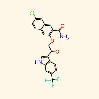 NC(=O)c1cc2cc(Cl)ccc2cc1OCC(=O)c1c[nH]c2cc(C(F)(F)F)ccc12